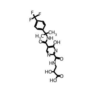 CC(C)(NC(=O)c1cnc(C(=O)NCC(O)C(=O)O)nc1O)c1ccc(C(F)(F)F)cc1